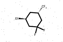 CC[C@H]1C[C@H](C(F)(F)F)CC(F)(F)C1